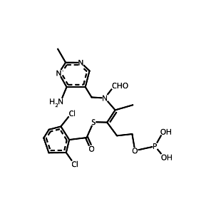 C/C(=C(\CCOP(O)O)SC(=O)c1c(Cl)cccc1Cl)N(C=O)Cc1cnc(C)nc1N